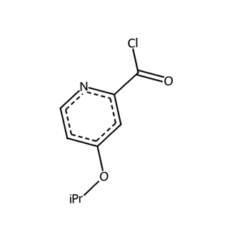 CC(C)Oc1ccnc(C(=O)Cl)c1